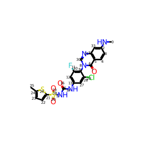 CNc1ccc2c(=O)n(-c3c(F)cc(NC(=O)NS(=O)(=O)c4ccc(C)s4)cc3Cl)cnc2c1